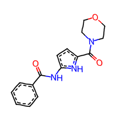 O=C(Nc1ccc(C(=O)N2CCOCC2)[nH]1)c1ccccc1